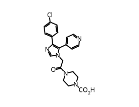 O=C(O)N1CCN(C(=O)Cn2cnc(-c3ccc(Cl)cc3)c2-c2ccncc2)CC1